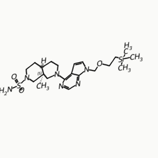 C[C@@]12CN(c3ncnc4c3ccn4COCC[Si](C)(C)C)CC[C@@H]1CCN(S(N)(=O)=O)C2